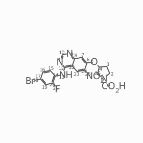 O=C(O)N1CCC(Oc2cc3ncnc(Nc4ccc(Br)cc4F)c3cc2[N+](=O)[O-])C1